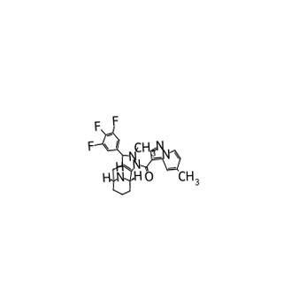 Cc1ccn2ncc(C(=O)N3C4=C(C[C@H]5CCC[C@@H]4N5)C(c4cc(F)c(F)c(F)c4)N3C)c2c1